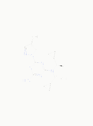 Cc1cnn(-c2nc(N)nc(N([C@H](C)C3CC3)[C@H](C)C3CC3)n2)c1